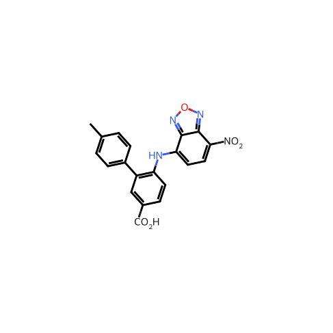 Cc1ccc(-c2cc(C(=O)O)ccc2Nc2ccc([N+](=O)[O-])c3nonc23)cc1